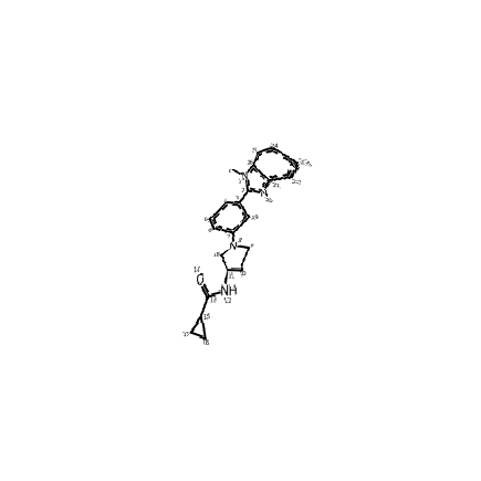 Cn1c(-c2cccc(N3CC[C@@H](NC(=O)C4CC4)C3)c2)nc2ccccc21